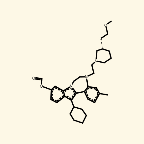 COCC[C@@H]1CCCN(CCN2CCn3c(c(C4CCCCC4)c4ccc(OC=O)cc43)-c3ccc(C)cc32)C1